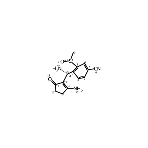 C[S+]([O-])c1cc(C#N)ccc1[C@@H](N)C1=C(N)CCC1=O